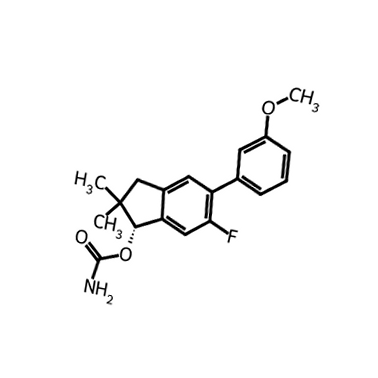 COc1cccc(-c2cc3c(cc2F)[C@H](OC(N)=O)C(C)(C)C3)c1